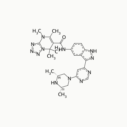 CC1=C(C(=O)Nc2ccc3[nH]nc(-c4cc(N5C[C@@H](C)N[C@@H](C)C5)ncn4)c3c2)C(C)(C)n2nnnc2N1C